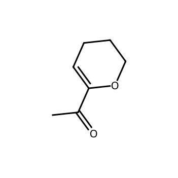 CC(=O)C1=CCCCO1